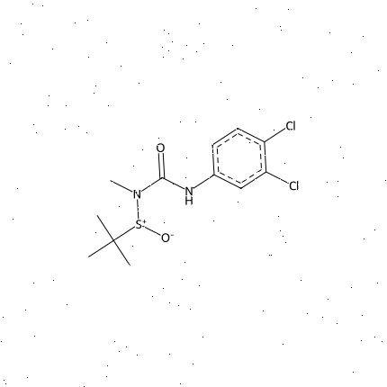 CN(C(=O)Nc1ccc(Cl)c(Cl)c1)[S+]([O-])C(C)(C)C